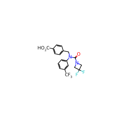 O=C(O)c1ccc(CN(C(=O)N2CC(F)(F)C2)c2cccc(C(F)(F)F)c2)cc1